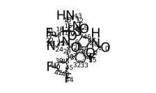 O=C1COc2ccc(S(=O)(=O)N3CCNC[C@@H]3CCc3c(F)cncc3NC(=O)C[C@@H](c3ccc(F)cc3)c3cc(F)cc(F)c3)cc2N1